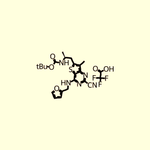 Cc1c(C[C@H](C)NC(=O)OC(C)(C)C)sc2c(NCc3ccco3)nc(C#N)nc12.O=C(O)C(F)(F)F